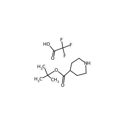 CC(C)(C)OC(=O)C1CCNCC1.O=C(O)C(F)(F)F